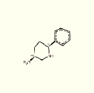 N[C@H]1CC[C@@H](c2ccccc2)NC1